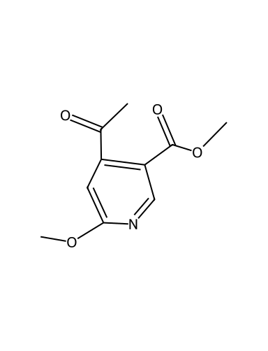 COC(=O)c1cnc(OC)cc1C(C)=O